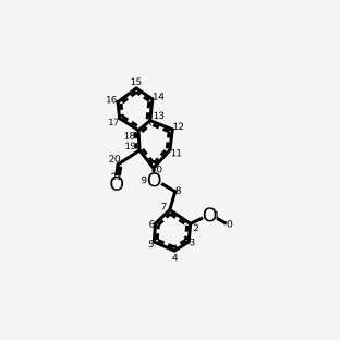 COc1ccccc1COc1ccc2ccccc2c1C=O